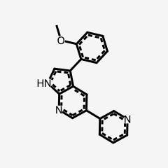 COc1ccccc1-c1c[nH]c2ncc(-c3cccnc3)cc12